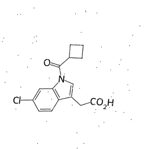 O=C(O)Cc1cn(C(=O)C2CCC2)c2cc(Cl)ccc12